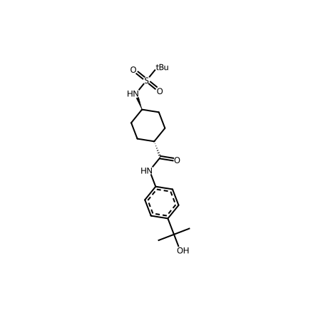 CC(C)(O)c1ccc(NC(=O)[C@H]2CC[C@H](NS(=O)(=O)C(C)(C)C)CC2)cc1